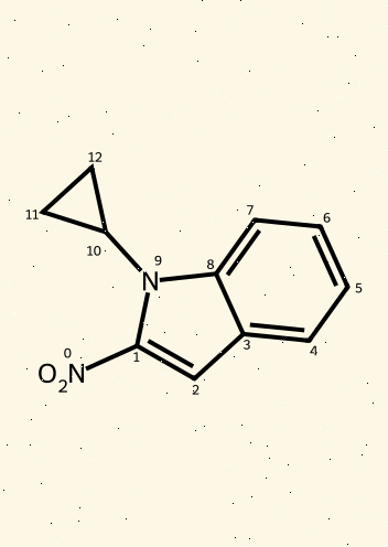 O=[N+]([O-])c1cc2ccccc2n1C1CC1